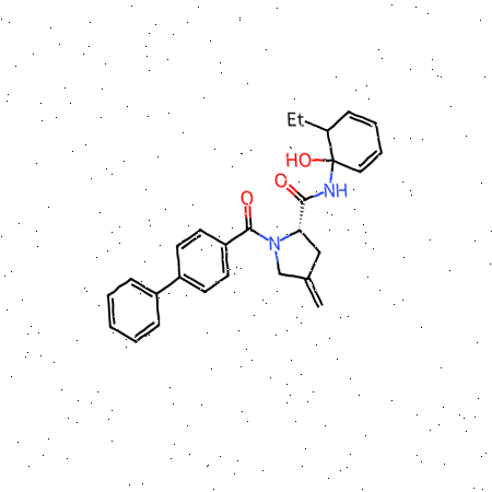 C=C1C[C@@H](C(=O)NC2(O)C=CC=CC2CC)N(C(=O)c2ccc(-c3ccccc3)cc2)C1